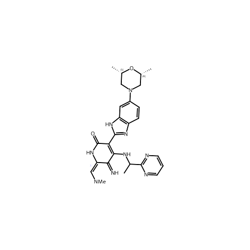 CN/C=C1/NC(=O)C(c2nc3ccc(N4C[C@@H](C)O[C@@H](C)C4)cc3[nH]2)=C(NC(C)c2ncccn2)C1=N